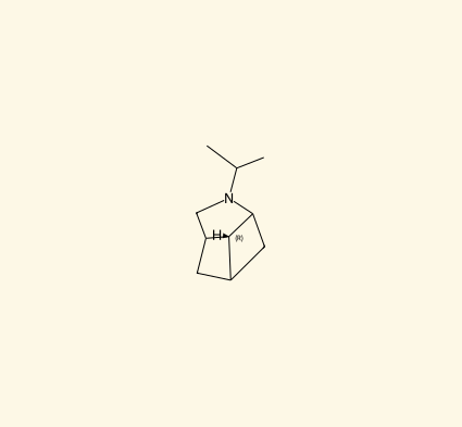 CC(C)N1CC2CC3CC1[C@H]32